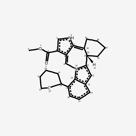 COC(=O)c1c[nH]c2c1=Cn1c(cc3cccc(C4CCCCC4)c31)[C@H]1CCCCC=21